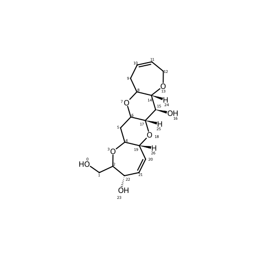 OCC1OC2CC3OC4CC=CCO[C@@H]4[C@@H](O)[C@@H]3O[C@@H]2C=C[C@@H]1O